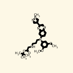 COc1cc(OC)cc(N(CCCNCC(=O)OC(C)(C)C)c2ccc3ncc(-c4cnn(C)c4)nc3c2)c1